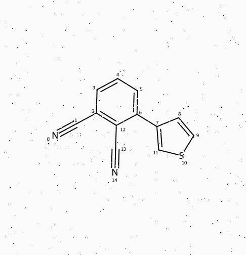 N#Cc1cccc(-c2c[c]sc2)c1C#N